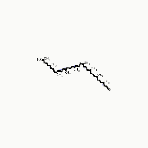 CC(C)=CCC/C(C)=C/CCC(C)/C=C/C/C(C)=C/CC/C(C)=C/CCC(C)/C=C/C/C(C)=C/CC/C(C)=C/CC/C(C)=C/CC=O